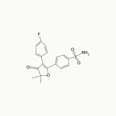 CC1(C)OC(c2ccc(S(N)(=O)=O)cc2)=C(c2ccc(F)cc2)C1=O